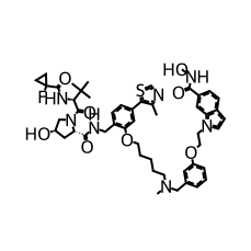 Cc1ncsc1-c1ccc(CNC(=O)[C@@H]2C[C@@H](O)CN2C(=O)[C@@H](NC(=O)C2(F)CC2)C(C)(C)C)c(OCCCCCN(C)Cc2cccc(OCCn3ccc4ccc(C(=O)NO)cc43)c2)c1